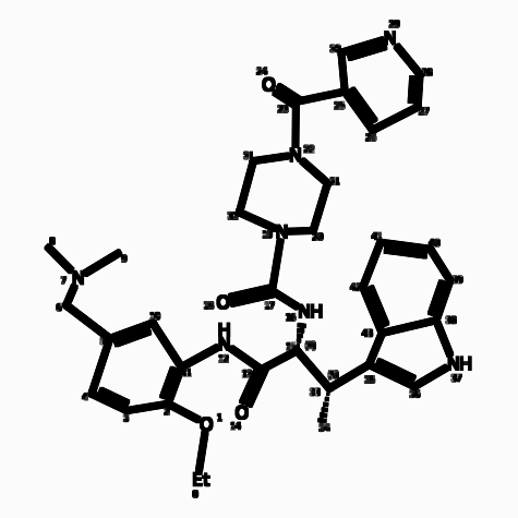 CCOc1ccc(CN(C)C)cc1NC(=O)[C@H](NC(=O)N1CCN(C(=O)c2cccnc2)CC1)[C@@H](C)c1c[nH]c2ccccc12